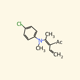 C=C/C(C(C)=O)=C(/C)N(C)c1ccc(Cl)cc1